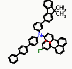 CC1(C)c2ccccc2-c2cc(-c3cccc(N(c4ccc(-c5ccc(-c6ccccc6)cc5)cc4)c4ccc(-c5cccc6cccc(-c7cccc(F)c7)c56)cc4)c3)ccc21